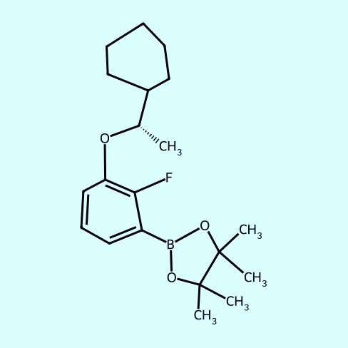 C[C@H](Oc1cccc(B2OC(C)(C)C(C)(C)O2)c1F)C1CCCCC1